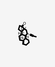 CC#C[C@H]1C[C@]2(C)C(=O)CC[C@H]2[C@@H]2CCC3=CCCC[C@@H]3[C@H]21